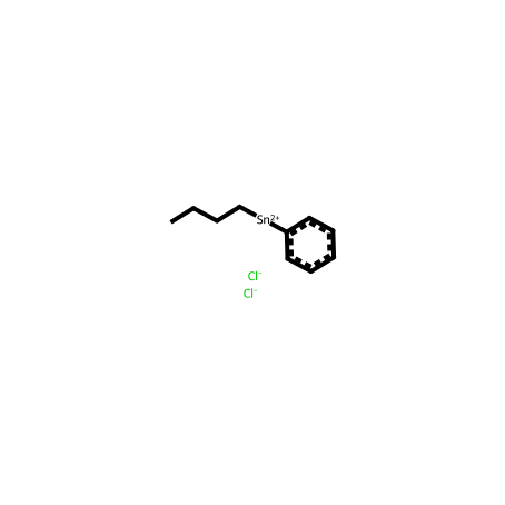 CCC[CH2][Sn+2][c]1ccccc1.[Cl-].[Cl-]